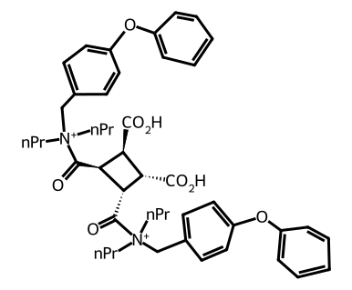 CCC[N+](CCC)(Cc1ccc(Oc2ccccc2)cc1)C(=O)[C@H]1[C@@H](C(=O)O)[C@H](C(=O)O)[C@@H]1C(=O)[N+](CCC)(CCC)Cc1ccc(Oc2ccccc2)cc1